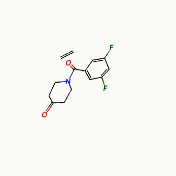 C=C.O=C1CCN(C(=O)c2cc(F)cc(F)c2)CC1